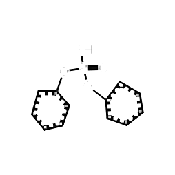 O=P(S)(Oc1ccccc1)Oc1ccccc1